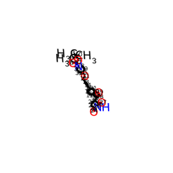 CC(C)(C)OC(=O)N1CCC(OCC#Cc2ccc3c(C4CCC(=O)NC4=O)coc3c2)CC1